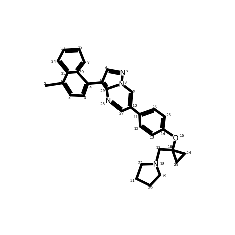 Cc1ccc(-c2cnn3cc(-c4ccc(OC5(CN6CCCC6)CC5)cc4)cnc23)c2ccccc12